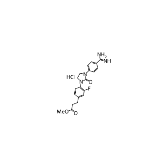 COC(=O)CCc1ccc(N2CCN(c3ccc(C(=N)N)cc3)C2=O)c(F)c1.Cl